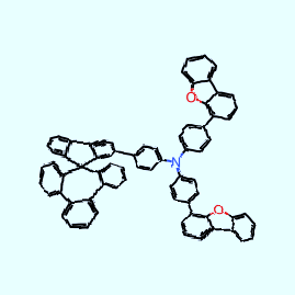 c1ccc2c(c1)-c1ccccc1C1(c3ccccc3-2)c2ccccc2-c2ccc(-c3ccc(N(c4ccc(-c5cccc6c5oc5ccccc56)cc4)c4ccc(-c5cccc6c5oc5ccccc56)cc4)cc3)cc21